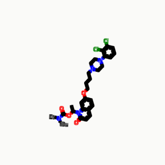 CCN(C(=O)OC(C)n1c(=O)ccc2ccc(OCCCCN3CCN(c4cccc(Cl)c4Cl)CC3)cc21)C(C)(C)C